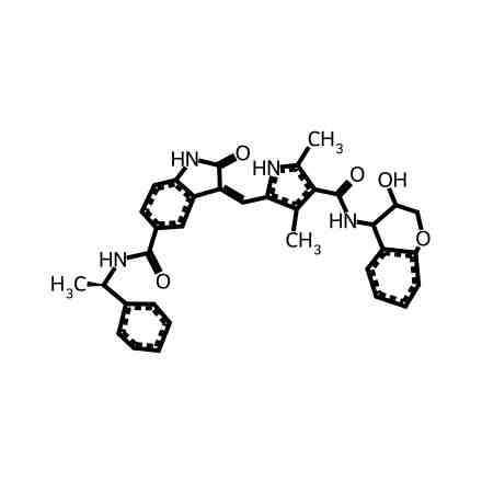 Cc1[nH]c(/C=C2\C(=O)Nc3ccc(C(=O)N[C@H](C)c4ccccc4)cc32)c(C)c1C(=O)NC1c2ccccc2OCC1O